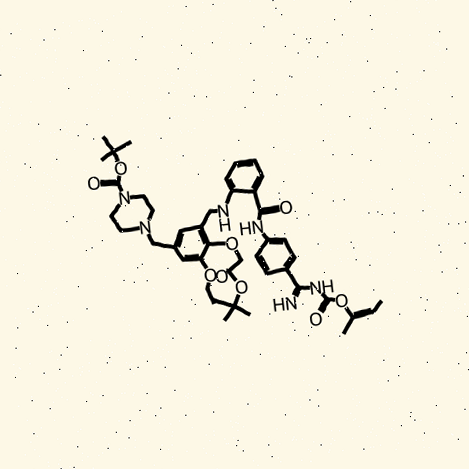 C/C=C(/C)OC(=O)NC(=N)c1ccc(NC(=O)c2ccccc2NCc2cc(CN3CCN(C(=O)OC(C)(C)C)CC3)cc(OCC)c2OCC(=O)OC(C)(C)C)cc1